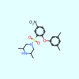 Cc1cc(C)cc(Oc2ccc([N+](=O)[O-])cc2S(=O)(=O)N2CC(C)NC(C)C2)c1